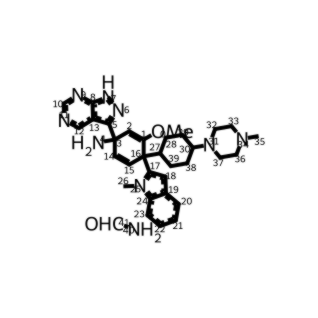 COC1=CC(N)(c2n[nH]c3ncncc23)C=CC1(c1cc2ccccc2n1C)C1CCC(N2CCN(C)CC2)CC1.NC=O